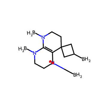 BC1CC2(CCN(B)C3=C2C2(CCN3B)CN(B)C2)C1